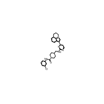 O=C(Nc1cccc(Cl)c1)N1CCC(CNc2nccc(-c3cn4c5c(cccc35)CCC4)n2)CC1